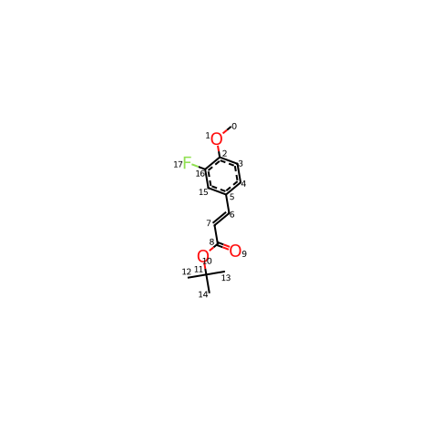 COc1ccc(/C=C/C(=O)OC(C)(C)C)cc1F